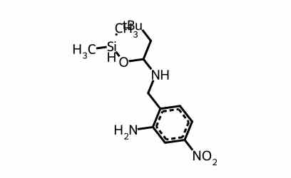 C[SiH](C)OC(CC(C)(C)C)NCc1ccc([N+](=O)[O-])cc1N